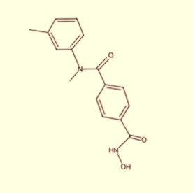 Cc1cccc(N(C)C(=O)c2ccc(C(=O)NO)cc2)c1